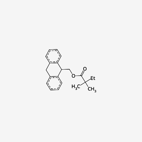 CCC(C)(C)C(=O)OCC1c2ccccc2Cc2ccccc21